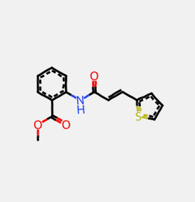 COC(=O)c1ccccc1NC(=O)C=Cc1cccs1